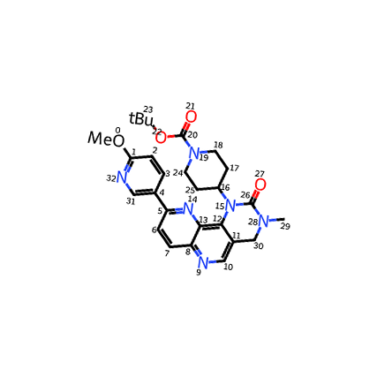 COc1ccc(-c2ccc3ncc4c(c3n2)N(C2CCN(C(=O)OC(C)(C)C)CC2)C(=O)N(C)C4)cn1